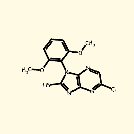 COc1cccc(OC)c1-n1c(S)nc2nc(Cl)cnc21